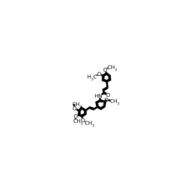 COc1ccc(C=Cc2cc(OC)c(OC)c(OC)c2)cc1NC(=O)/C=C/c1ccc(OC)c(OC)c1